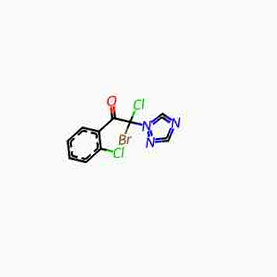 O=C(c1ccccc1Cl)C(Cl)(Br)n1cncn1